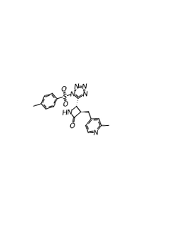 Cc1ccc(S(=O)(=O)n2nnnc2[C@H]2NC(=O)[C@@H]2Cc2ccnc(C)c2)cc1